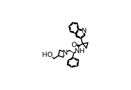 O=C(N[C@H](CN1CC(CO)C1)c1ccccc1)C1(c2cnc3ccccc3c2)CC1